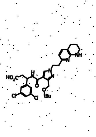 CC(C)(C)OCc1nn(CCc2ccc3c(n2)NCCC3)cc1C(=O)NC(CC(=O)O)c1cc(Cl)cc(Cl)c1